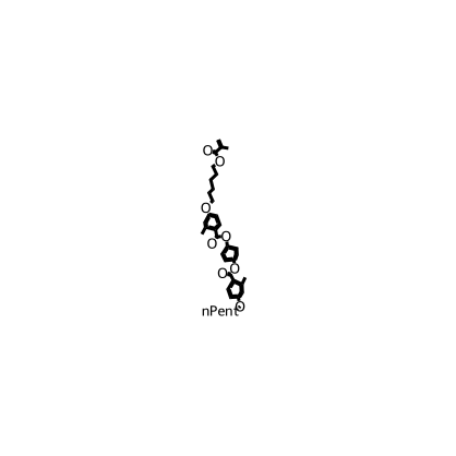 C=C(C)C(=O)OCCCCCCOc1ccc(C(=O)Oc2ccc(OC(=O)c3ccc(OCCCCC)cc3C)cc2)c(C)c1